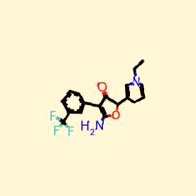 CCN1C=CCC(C2OC(N)=C(c3cccc(C(F)(F)F)c3)C2=O)=C1